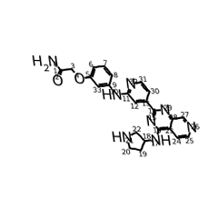 NC(=O)COc1cccc(Nc2cc(-c3nc(NC4CCNC4)c4ccncc4n3)ccn2)c1